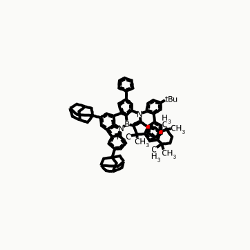 CC(C)(C)c1ccc(N2C3=C(B4c5c(cc(-c6ccccc6)cc52)-c2cc(C56CC7CC(CC(C7)C5)C6)cc5c6cc(C78CC9CC(CC(C9)C7)C8)ccc6n4c25)C(C)(C)c2cc4c(cc23)C(C)(C)CCC4(C)C)c(-c2ccccc2)c1